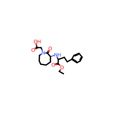 CCOC(=O)C(CCc1ccccc1)N[C@H]1CCCCCN(CC(=O)O)C1=O